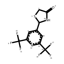 O=C1CSC(c2cc(C(F)(F)F)nc(C(F)(F)F)c2)N1